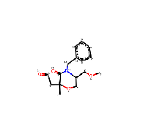 COCC1COC(C)(CC=O)C(=O)N1Cc1ccccc1